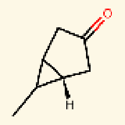 CC1C2CC(=O)C[C@H]12